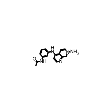 CC(=O)Nc1cccc(Nc2ccnc3c2C=CN(N)C3)c1